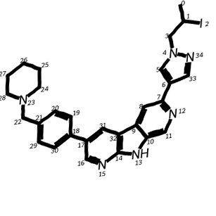 CC(I)Cn1cc(-c2cc3c(cn2)[nH]c2ncc(-c4ccc(CN5CCCCC5)cc4)cc23)cn1